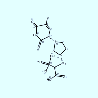 Cc1cn([C@@H]2CC[C@H](OC(C(=O)O)P(=O)(O)O)C2)c(=O)[nH]c1=O